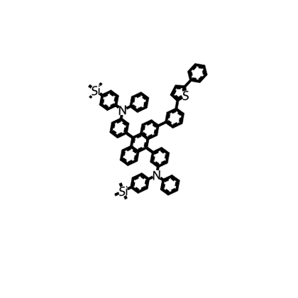 C[Si](C)(C)c1ccc(N(c2ccccc2)c2cccc(-c3c4ccccc4c(-c4cccc(N(c5ccccc5)c5ccc([Si](C)(C)C)cc5)c4)c4cc(-c5cccc(-c6ccc(-c7ccccc7)s6)c5)ccc34)c2)cc1